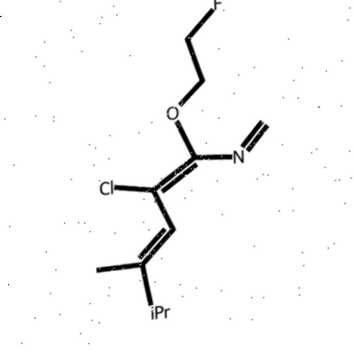 C=N/C(OCCF)=C(Cl)\C=C(/C)C(C)C